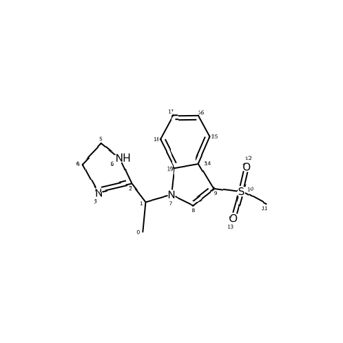 CC(C1=NCCN1)n1cc(S(C)(=O)=O)c2ccccc21